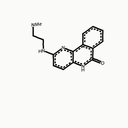 CNCCNc1ccc2[nH]c(=O)c3ccccc3c2n1